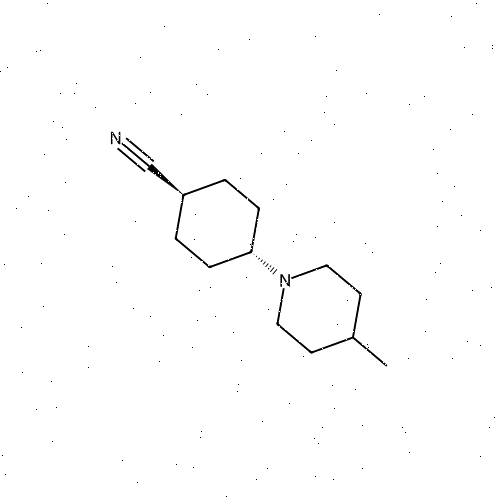 CC1CCN([C@H]2CC[C@H](C#N)CC2)CC1